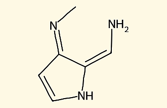 C/N=C1/C=CN/C1=C/N